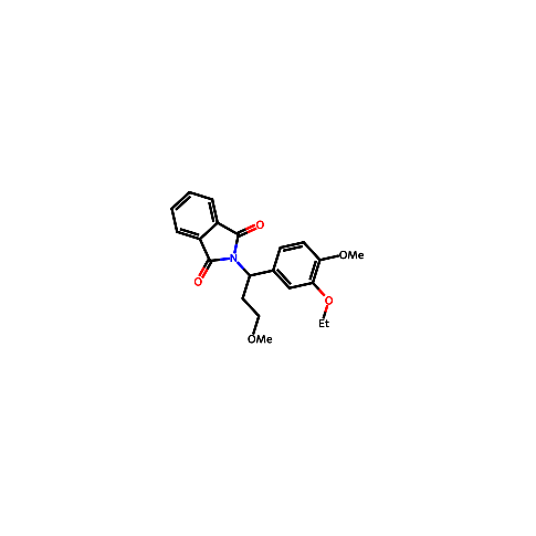 CCOc1cc(C(CCOC)N2C(=O)c3ccccc3C2=O)ccc1OC